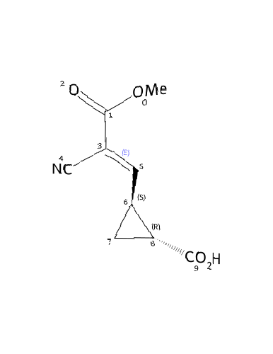 COC(=O)/C(C#N)=C/[C@@H]1C[C@H]1C(=O)O